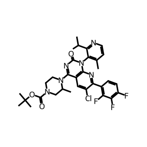 Cc1ccnc(C(C)C)c1-n1c(=O)nc(N2CCN(C(=O)OC(C)(C)C)CC2C)c2cc(Cl)c(-c3ccc(F)c(F)c3F)nc21